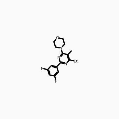 CCc1nc(-c2cc(F)cc(F)c2)nc(N2CCOCC2)c1C